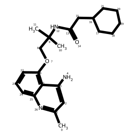 Cc1cc(N)c2c(OCC(C)(C)NC(=O)CC3CCCCC3)cccc2n1